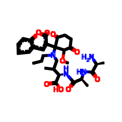 CCCN(CC(C)[C@H](NC(=O)[C@H](C)NC(=O)[C@H](C)N)C(=O)O)C1(c2cc3ccccc3oc2=O)C(=O)CCC(=O)C1OC